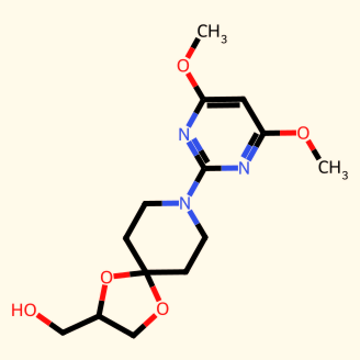 COc1cc(OC)nc(N2CCC3(CC2)OCC(CO)O3)n1